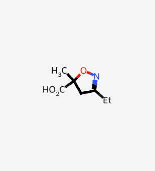 CCC1=NOC(C)(C(=O)O)C1